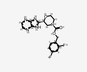 O=C(OCc1ccc(F)cc1F)N1CCO[C@H](c2nc3nccnc3[nH]2)C1